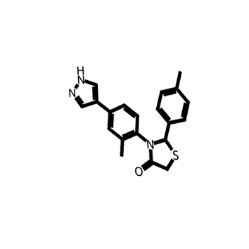 Cc1ccc(C2SCC(=O)N2c2ccc(-c3cn[nH]c3)cc2C)cc1